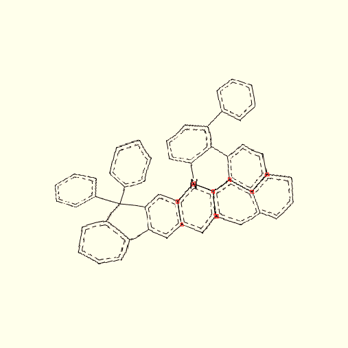 c1ccc(-c2ccccc2-c2c(-c3ccccc3)cccc2N(c2ccc3c(c2)C(c2ccccc2)(c2ccccc2)c2ccccc2-3)c2ccc3ccccc3c2)cc1